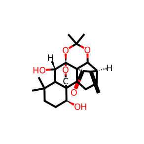 C=C1C(=O)[C@@]23C4OC(C)(C)O[C@]25OC[C@@]2(C([C@@H]5O)C(C)(C)CC[C@@H]2O)C3CC[C@@H]14